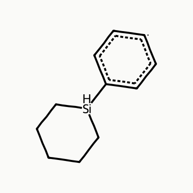 [c]1ccc([SiH]2CCCCC2)cc1